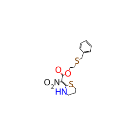 O=C(OCCSCc1ccccc1)C(=C1NCCCS1)[N+](=O)[O-]